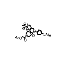 COc1ccc(N2Cc3cnc(S(C)(=O)=O)nc3C3(CCN(C(=O)COC(C)=O)CC3)C2=O)cc1